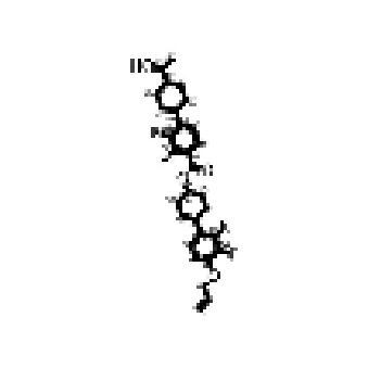 C=CCOc1ccc(C2CCC(OC(=O)c3ccc(C4CCC(C(C)O)CC4)c(F)c3F)CC2)c(F)c1F